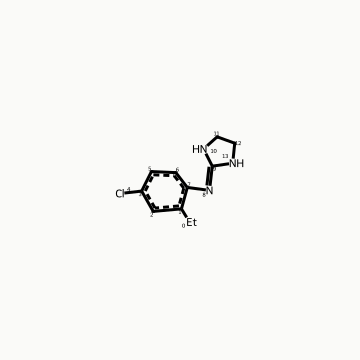 CCc1cc(Cl)ccc1N=C1NCCN1